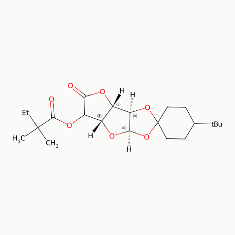 CCC(C)(C)C(=O)OC1C(=O)O[C@@H]2[C@H]3OC4(CCC(C(C)(C)C)CC4)O[C@H]3O[C@H]12